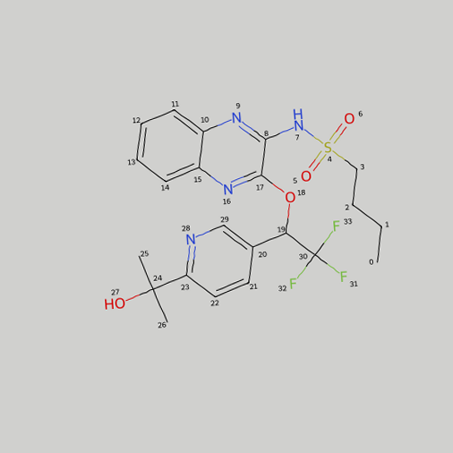 CCCCS(=O)(=O)Nc1nc2ccccc2nc1OC(c1ccc(C(C)(C)O)nc1)C(F)(F)F